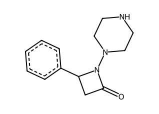 O=C1CC(c2ccccc2)N1N1CCNCC1